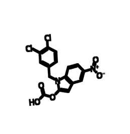 O=C(O)Oc1cc2cc([N+](=O)[O-])ccc2n1Cc1ccc(Cl)c(Cl)c1